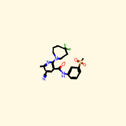 Cc1nc(N2CCCC(F)(F)CC2)c(C(=O)Nc2cccc(S(C)(=O)=O)c2)cc1C#N